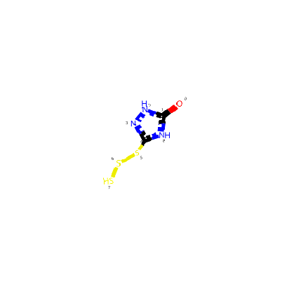 O=c1[nH]nc(SSS)[nH]1